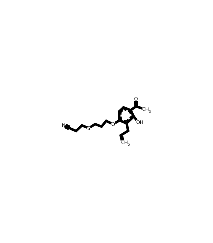 C=CCc1c(OCCCSCCC#N)ccc(C(C)=O)c1O